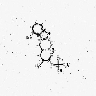 COc1nc2cccc(Br)c2n1CCCN(C)C(=O)OC(C)(C)C